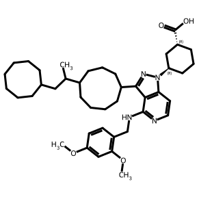 COc1ccc(CNc2nccc3c2c(C2CCCCC(C(C)CC4CCCCCCC4)CCC2)nn3[C@@H]2CCC[C@@H](C(=O)O)C2)c(OC)c1